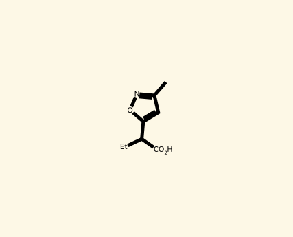 CCC(C(=O)O)c1cc(C)no1